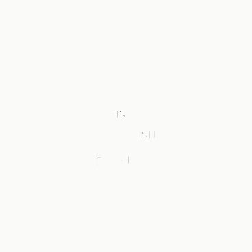 CCNCC1(Nc2ccc(F)c(Cl)c2)C[CH]CCC1